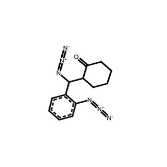 [N-]=[N+]=Nc1ccccc1C(N=[N+]=[N-])C1CCCCC1=O